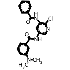 CN(C)c1cccc(C(=O)Nc2cnc(Cl)c(NC(=O)c3ccccc3)c2)c1